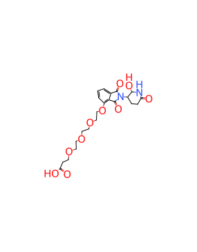 O=C(O)CCOCCOCCOCCOc1cccc2c1C(=O)N(C1CCC(=O)NC1O)C2=O